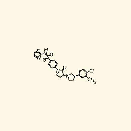 Cc1cc(C2CCN(C3CCN(c4ccc(S(=O)(=O)Nc5nccs5)cc4)C3=O)C2)ccc1Cl